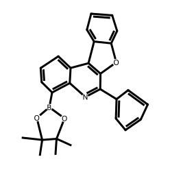 CC1(C)OB(c2cccc3c2nc(-c2ccccc2)c2oc4ccccc4c23)OC1(C)C